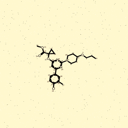 CCCOC1CCN(c2nc(OC3(C(=O)OC)CC3)cc(-c3ccc(Cl)c(C)c3)n2)CC1